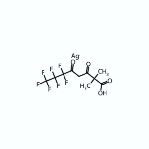 CC(C)(C(=O)O)C(=O)CC(=O)C(F)(F)C(F)(F)C(F)(F)F.[Ag]